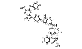 CCCN(Cc1nc(-c2ccc(-c3cc4cc(NC(=O)[C@@H]5CCCN5C(=O)[C@H](NC(=O)OC(C)C)c5ccccc5)ccc4[nH]3)cc2)cn1C)C(=O)Cc1ccccc1